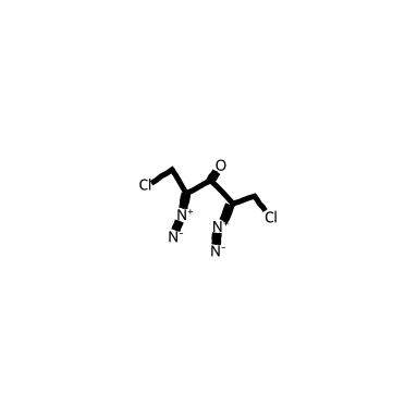 [N-]=[N+]=C(CCl)C(=O)C(CCl)=[N+]=[N-]